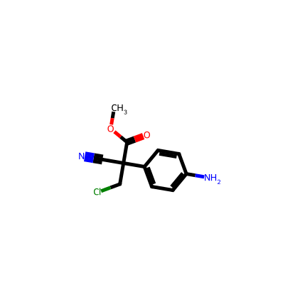 COC(=O)C(C#N)(CCl)c1ccc(N)cc1